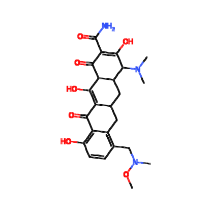 CON(C)Cc1ccc(O)c2c1CC1CC3C(C(=O)C(C(N)=O)=C(O)C3N(C)C)C(O)=C1C2=O